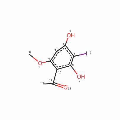 COc1cc(O)c(I)c(O)c1C(C)=O